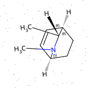 C[C@@H]1[C@H]2C=C[C@H](CC2)N1C